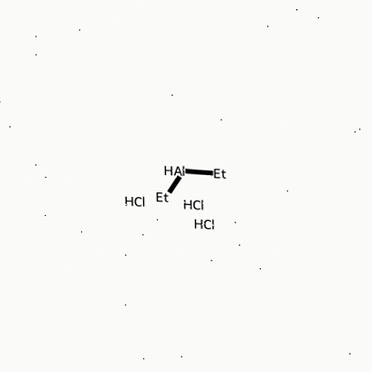 C[CH2][AlH][CH2]C.Cl.Cl.Cl